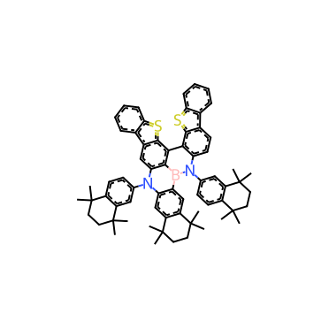 CC1(C)CCC(C)(C)c2cc(N3B4c5cc6c(cc5N(c5ccc7c(c5)C(C)(C)CCC7(C)C)c5cc7c(sc8ccccc87)c(c54)-c4c3ccc3c4sc4ccccc43)C(C)(C)CCC6(C)C)ccc21